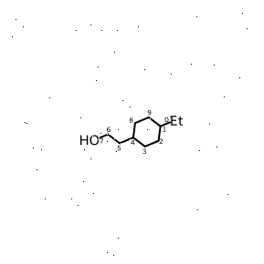 [CH2]CC1CCC(CCO)CC1